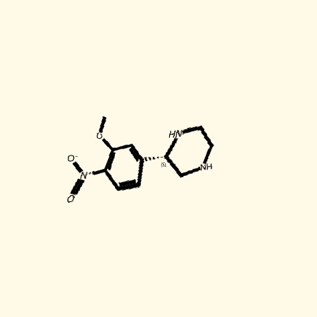 COc1cc([C@H]2CNCCN2)ccc1[N+](=O)[O-]